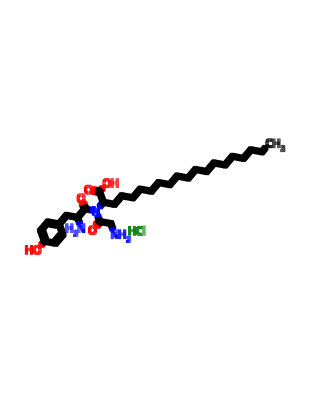 CCCCCCCCCCCCCCCCCCC(C(=O)O)N(C(=O)CN)C(=O)C(N)Cc1ccc(O)cc1.Cl